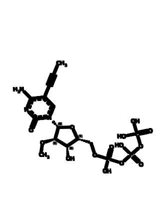 CC#Cc1cn([C@@H]2O[C@H](COP(=O)(O)OP(=O)(O)OP(=O)(O)O)[C@H](O)[C@H]2OC)c(=O)nc1N